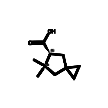 C[N+]1(C)CC2(CC2)C[C@H]1C(=O)O